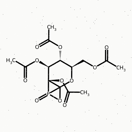 CC(=O)OC[C@H]1OC23OP2(=O)[C@]3(OC(C)=O)[C@@H](OC(C)=O)[C@@H]1OC(C)=O